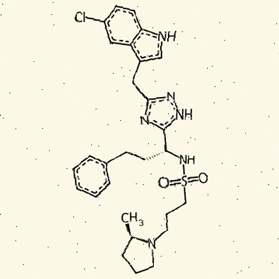 C[C@@H]1CCCN1CCCS(=O)(=O)N[C@H](CCc1ccccc1)c1nc(Cc2c[nH]c3ccc(Cl)cc23)n[nH]1